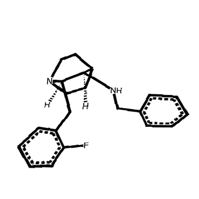 Fc1ccccc1C[C@@H]1[C@H](NCc2ccccc2)C2CCN1CC2